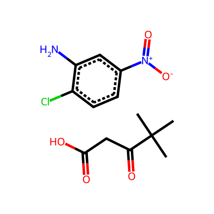 CC(C)(C)C(=O)CC(=O)O.Nc1cc([N+](=O)[O-])ccc1Cl